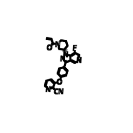 C=CC(=O)N1CCC[C@@H](n2nc(-c3ccc(Oc4cccnc4C#N)cc3)c3cncc(F)c32)C1